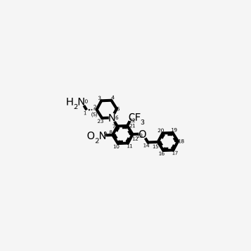 NC[C@@H]1CCCN(c2c([N+](=O)[O-])ccc(OCc3ccccc3)c2C(F)(F)F)C1